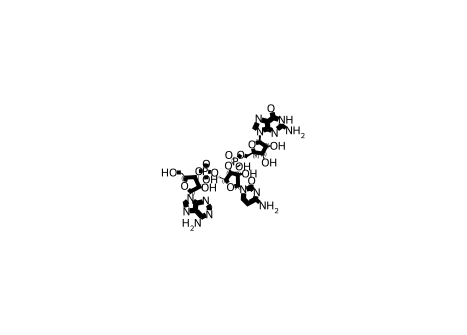 Nc1ccn([C@@H]2O[C@H](COP(=O)(O)O[C@H]3[C@@H](O)[C@H](n4cnc5c(N)ncnc54)O[C@@H]3CO)[C@@H](OP(=O)(O)OC[C@H]3O[C@@H](n4cnc5c(=O)[nH]c(N)nc54)[C@H](O)[C@@H]3O)[C@H]2O)c(=O)n1